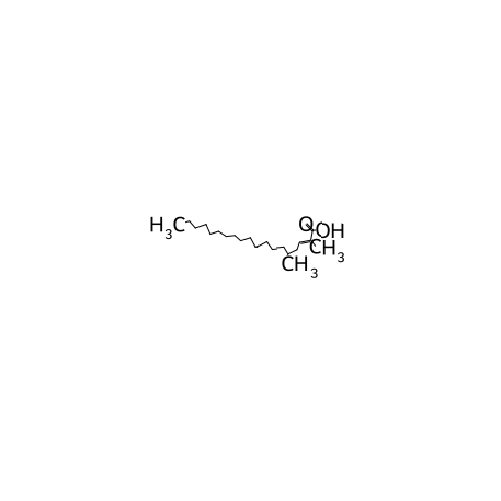 CCCCCCCCCCCCCCC(C)C/C=C(\C)C(=O)O